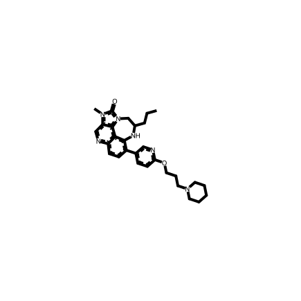 CCCC1Cn2c(=O)n(C)c3cnc4ccc(-c5ccc(OCCCN6CCCCC6)nc5)c(c4c32)N1